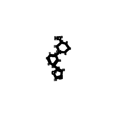 OC1CCCN(c2cccc(-c3cnco3)c2)C1